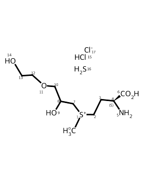 C[S+](CC[C@H](N)C(=O)O)CC(O)COCCO.Cl.S.[Cl-]